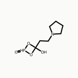 O=[PH]1OC(O)(CCN2CCCC2)O1